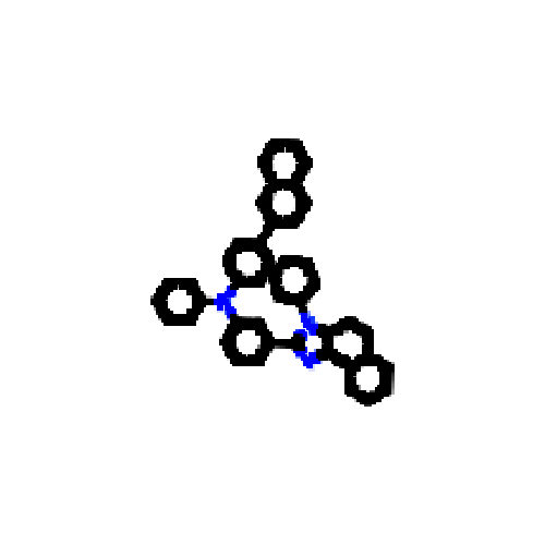 c1ccc(N(c2ccc(-c3ccc4ccccc4c3)cc2)c2cccc(-c3nc4c5ccccc5ccc4n3-c3ccccc3)c2)cc1